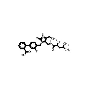 CCc1[nH]c(=O)n(Cc2ccc(-c3ccccc3C(=O)O)cc2F)c1CNC(=O)C(S)CC(C)C